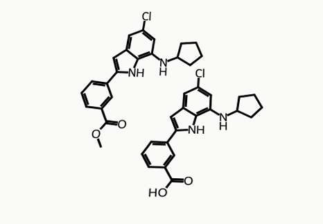 COC(=O)c1cccc(-c2cc3cc(Cl)cc(NC4CCCC4)c3[nH]2)c1.O=C(O)c1cccc(-c2cc3cc(Cl)cc(NC4CCCC4)c3[nH]2)c1